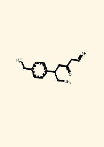 CCc1ccc(C(CC)CC(=O)CC=N)cc1